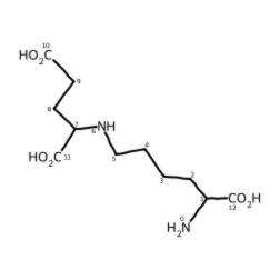 NC(CCCCNC(CCC(=O)O)C(=O)O)C(=O)O